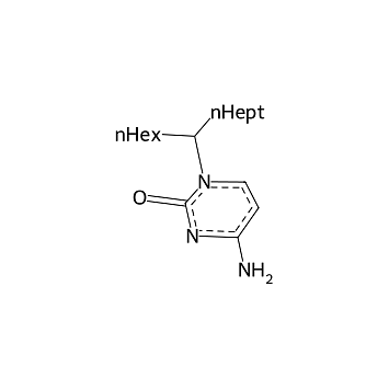 CCCCCCCC(CCCCCC)n1ccc(N)nc1=O